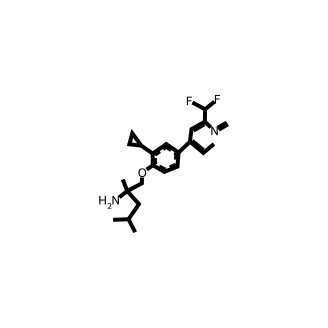 C=N/C(=C\C(=C/C)c1ccc(OCC(C)(N)CC(C)C)c(C2CC2)c1)C(F)F